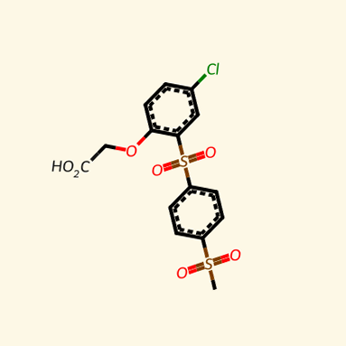 CS(=O)(=O)c1ccc(S(=O)(=O)c2cc(Cl)ccc2OCC(=O)O)cc1